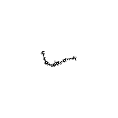 C=C(C)C(=O)OCCCCCCOc1ccc(C=COCOc2ccc3c(c2)C(C)c2cc(OC(=O)C=Cc4ccc(OCCCCCCOC(=O)C(=C)C)cc4)ccc2-3)cc1